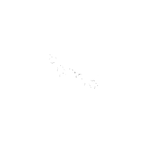 Cc1cc(C(=O)N2C[C@@H]3[C@H](C2)[C@H]3N(C)c2nc(-c3ccncc3F)cc(=O)n2C)cc(Cl)n1